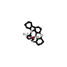 CN1CCN2c3cccc4c3[PH]3(c5c(ccc6c7ccccc7n(c56)C5=CC=CCN53)O4)C12